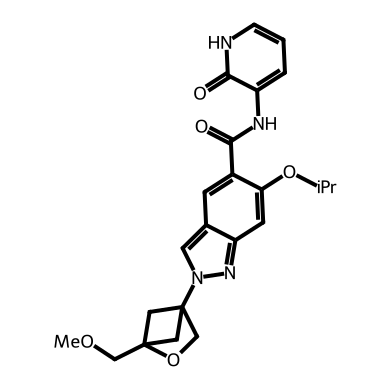 COCC12CC(n3cc4cc(C(=O)Nc5ccc[nH]c5=O)c(OC(C)C)cc4n3)(CO1)C2